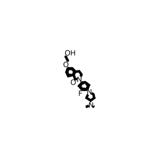 CN(C)[C@@H]1CCN(c2ccc(N3CCc4cc(OCCO)ccc4C3=O)cc2F)C1